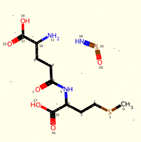 CSCCC(NC(=O)CCC(N)C(=O)O)C(=O)O.N=S=O